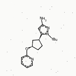 CC(C)(C)n1nc(N)cc1[C@H]1CC[C@@H](Oc2ccccn2)C1